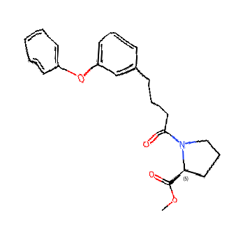 COC(=O)[C@@H]1CCCN1C(=O)CCCc1cccc(Oc2ccccc2)c1